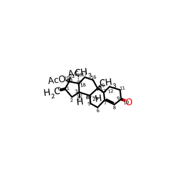 C=C1C[C@H]2[C@@H]3CCC4=CC(=O)CCC4[C@@]3(C)CC[C@]2(C)[C@@]1(OC(C)=O)C(C)=O